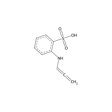 C=C=CNc1ccccc1S(=O)(=O)O